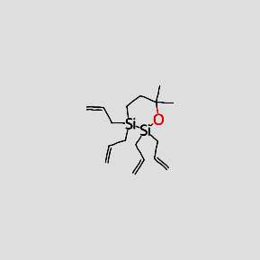 C=CC[Si]1(CC=C)CCC(C)(C)O[Si]1(CC=C)CC=C